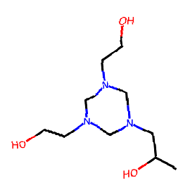 CC(O)CN1CN(CCO)CN(CCO)C1